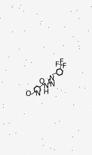 COCc1ccc(C(=O)Nc2cn(Cc3cccc(C(F)(F)F)c3)cn2)cn1